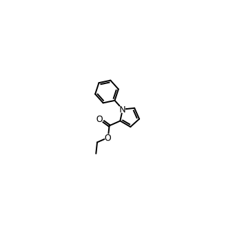 CCOC(=O)c1cccn1-c1ccccc1